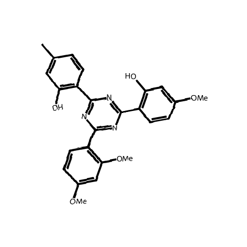 COc1ccc(-c2nc(-c3ccc(C)cc3O)nc(-c3ccc(OC)cc3OC)n2)c(O)c1